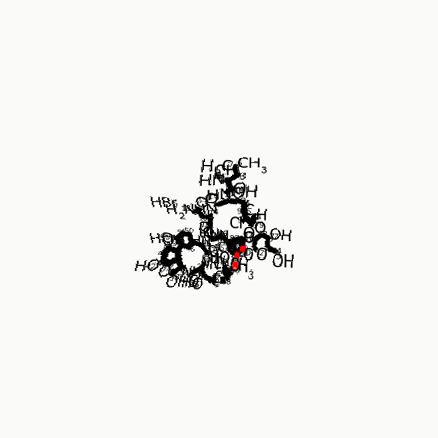 Br.CNC(CC(C)C)C(=O)NC1C(=O)NC(CC(N)=O)C(=O)NC2C(=O)NC3C(=O)NC(C(=O)NC(C(=O)O)c4cc(O)cc(O)c4-c4cc3ccc4O)C(O)c3ccc(c(Cl)c3)Oc3cc2cc(c3OC2OC(CO)C(O)C(O)C2OC2CC(C)(N)C(O)C(C)O2)Oc2ccc(cc2Cl)C1O